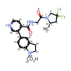 N#C[C@@H]1CC(F)(F)CN1C(=O)CNC(=O)c1ccncc1-c1ccc2c(c1)CCN2C(=O)O